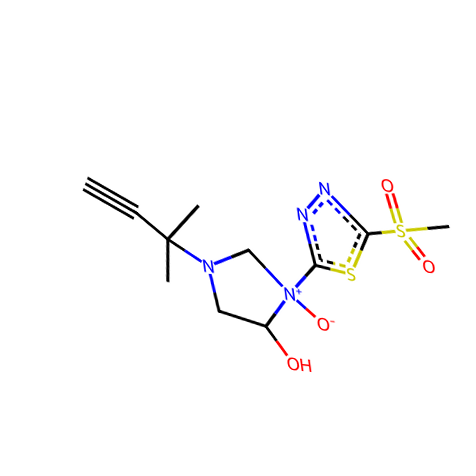 C#CC(C)(C)N1CC(O)[N+]([O-])(c2nnc(S(C)(=O)=O)s2)C1